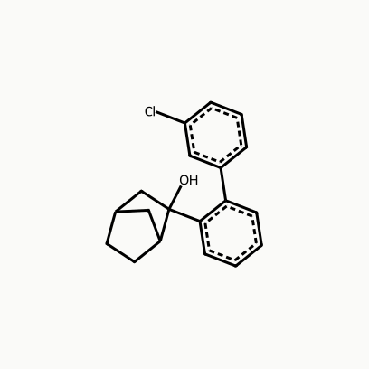 OC1(c2ccccc2-c2cccc(Cl)c2)CC2CCC1C2